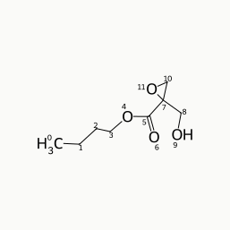 CCCCOC(=O)C1(CO)CO1